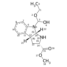 CCOC(O)N1c2ccccc2[C@H]2C[C@@H](C(=O)OC)N[C@H]21